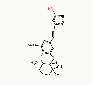 COc1cc(/C=C/c2cccc(O)c2)cc2c1O[C@]1(C)CCCC(C)(C)[C@H]1C2